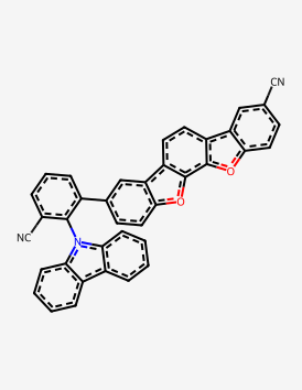 N#Cc1ccc2oc3c(ccc4c5cc(-c6cccc(C#N)c6-n6c7ccccc7c7ccccc76)ccc5oc43)c2c1